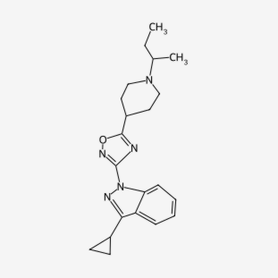 CCC(C)N1CCC(c2nc(-n3nc(C4CC4)c4ccccc43)no2)CC1